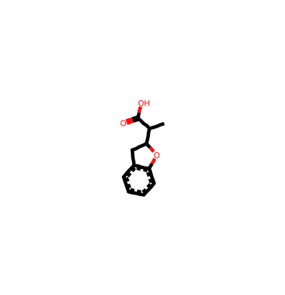 CC(C(=O)O)C1Cc2ccccc2O1